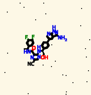 C[C@H](NC(=O)c1nc(C#N)cnc1N[C@H](CO)c1ccc(-c2cnc3[nH]nc(N)c3c2)cc1)c1ccc(F)c(F)c1